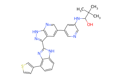 CC(C)(C)C(O)Nc1cncc(-c2cnc3[nH]nc(-c4nc5c(-c6ccsc6)cccc5[nH]4)c3c2)c1